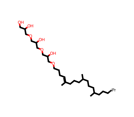 CC(=CCCCOCC(O)COCC(O)COCC(O)CO)CCCC(C)CCCC(C)CCCC(C)C